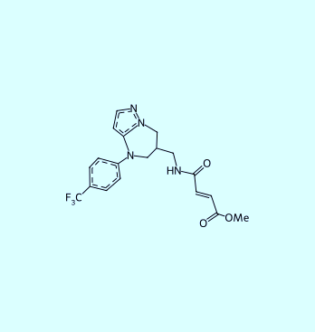 COC(=O)/C=C/C(=O)NCC1CN(c2ccc(C(F)(F)F)cc2)c2ccnn2C1